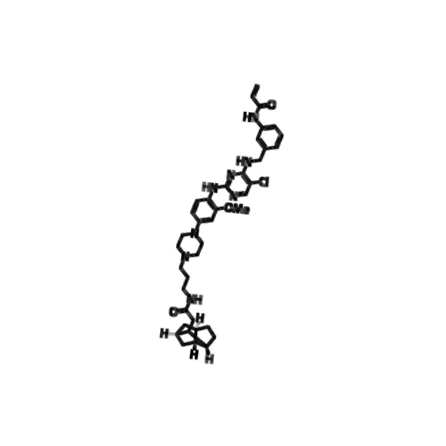 C=CC(=O)Nc1cccc(CNc2nc(Nc3ccc(N4CCN(CCCNC(=O)CC5[C@@H]6C[C@H]7CC[C@@H]5[C@@H]7C6)CC4)cc3OC)ncc2Cl)c1